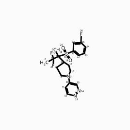 CC(F)(F)C(C)(C1CCN(c2ccnnc2)CC1)S(=O)(=O)c1cccc(F)c1